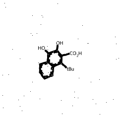 CC(C)(C)c1c(C(=O)O)c(O)c(O)c2ccccc12